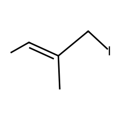 C/C=C(\C)CI